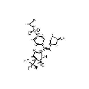 O=C1CC[C@H](/C=C(\c2ccc(S(=O)(=O)C3CC3)cc2)c2ccc(C(F)(F)F)c(=O)[nH]2)C1